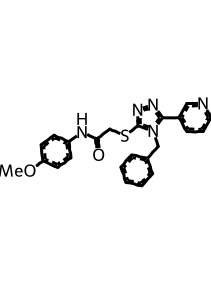 COc1ccc(NC(=O)CSc2nnc(-c3cccnc3)n2Cc2ccccc2)cc1